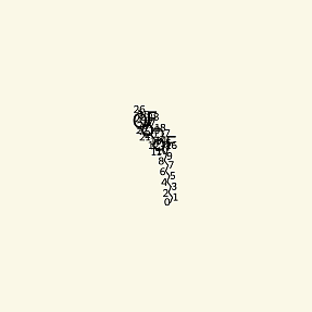 CCCCCCCCCCc1ccc2c(c1F)CCc1c-2ccc(OCC)c1F